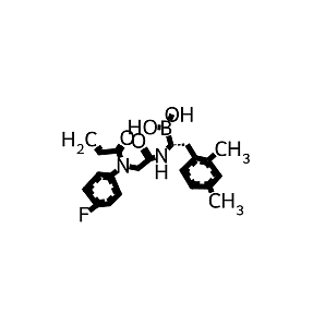 C=CC(=O)N(CC(=O)N[C@@H](Cc1ccc(C)cc1C)B(O)O)c1ccc(F)cc1